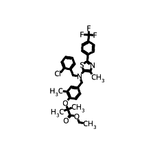 CCOC(=O)C(C)(C)Oc1ccc(CN(Cc2ccccc2Cl)c2sc(-c3ccc(C(F)(F)F)cc3)nc2C)cc1C